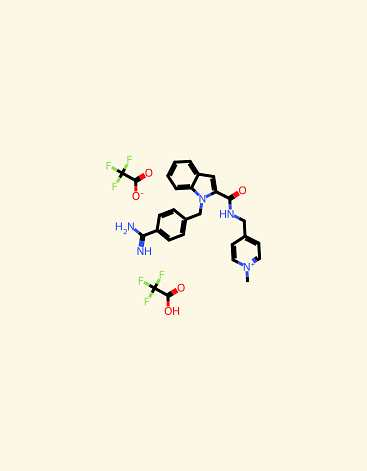 C[n+]1ccc(CNC(=O)c2cc3ccccc3n2Cc2ccc(C(=N)N)cc2)cc1.O=C(O)C(F)(F)F.O=C([O-])C(F)(F)F